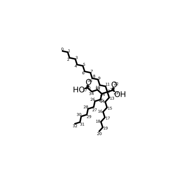 CCCCCCCCCCCCC(CCCCCCCC)(C(=O)O)C(CCCCCCCC)CCC(=O)O